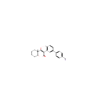 Cc1ccc(-c2ccc(CI)cc2)cc1C1=C(O)C2(C)CCCCC2OC1=O